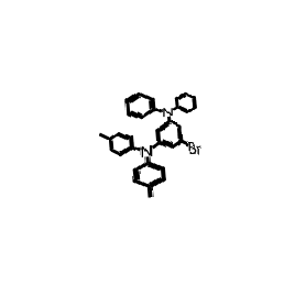 Cc1ccc(N(c2ccc(C)cc2)c2cc(Br)cc(N(c3ccccc3)c3ccccc3)c2)cc1